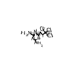 Nc1nc(N)nc(CCC(Cl)(Cl)Cl)n1